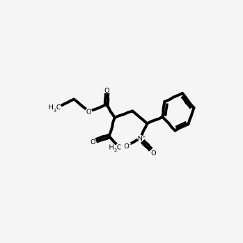 CCOC(=O)C(CC(c1ccccc1)[N+](=O)[O-])C(C)=O